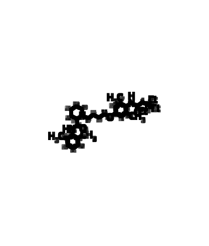 CC[N+](CC)(CC)CC(=O)Nc1c(C)cc(OCCCCN2CCCCC2C(=O)Nc2c(C)cccc2C)cc1C